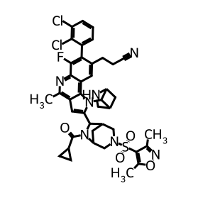 Cc1noc(C)c1S(=O)(=O)N1CC2CC(C1)N(C(=O)C1CC1)C2c1cc2c(C)nc3c(F)c(-c4cccc(Cl)c4Cl)c(CCC#N)cc3c2n1C1C2CNC1C2